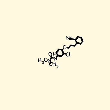 CN(C)C(=O)Nc1ccc(OCCCc2ccccc2C#N)c(Cl)c1